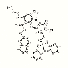 C=CCOc1cc(C)cc(O[C@@H]2O[C@H](COP(=O)(Oc3ccccc3)Oc3ccccc3)[C@@H](O)[C@H](O)[C@H]2O)c1C(=O)CCc1ccc2occc2c1